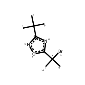 CC(C)(C)c1noc(C(C)(Br)I)n1